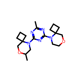 Cc1nc(N2CCOCC23CCC3)nc(N2CC(C)OCC23CCC3)n1